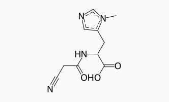 Cn1cncc1CC(NC(=O)CC#N)C(=O)O